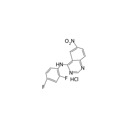 Cl.O=[N+]([O-])c1ccc2ncnc(Nc3ccc(F)cc3F)c2c1